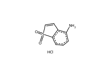 Cl.Nc1cccc2c1C=CS2(=O)=O